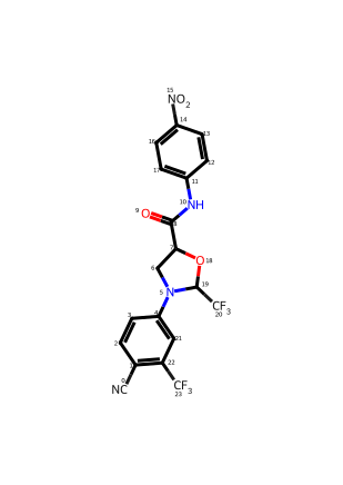 N#Cc1ccc(N2CC(C(=O)Nc3ccc([N+](=O)[O-])cc3)OC2C(F)(F)F)cc1C(F)(F)F